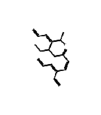 C=C/C=C(C=C)/C=C\C(=C)CC(CC)/C(=C\C=C)C(C)F